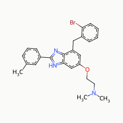 Cc1cccc(-c2nc3c(Cc4ccccc4Br)cc(OCCN(C)C)cc3[nH]2)c1